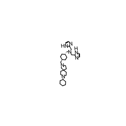 c1c[nH]c(CN(Cc2ncc[nH]2)C[C@H]2CC[C@H](CN3CCC4(CCN(C5CCCCC5)CC4)C3)CC2)n1